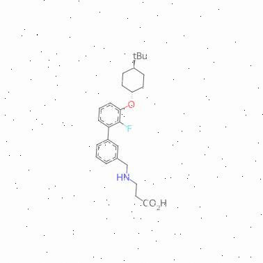 CC(C)(C)[C@H]1CC[C@H](Oc2cccc(-c3cccc(CNCCC(=O)O)c3)c2F)CC1